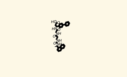 C[C@@H](NC(=O)NCCC(=O)NCC(=O)NC(CC(=O)O)c1ccc(-c2ccccc2)cc1)c1cccc2ccccc12